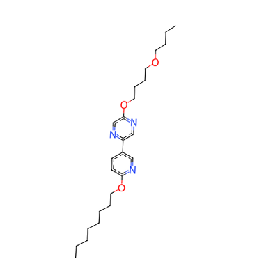 CCCCCCCCOc1ccc(-c2cnc(OCCCCOCCCC)cn2)cn1